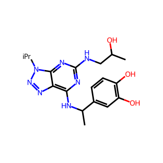 CC(O)CNc1nc(NC(C)c2ccc(O)c(O)c2)c2nnn(C(C)C)c2n1